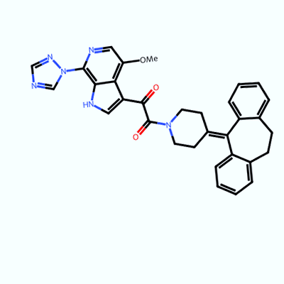 COc1cnc(-n2cncn2)c2[nH]cc(C(=O)C(=O)N3CCC(=C4c5ccccc5CCc5ccccc54)CC3)c12